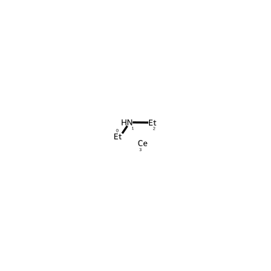 CCNCC.[Ce]